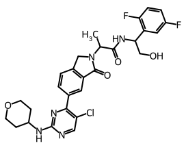 CC(C(=O)NC(CO)c1cc(F)ccc1F)N1Cc2ccc(-c3nc(NC4CCOCC4)ncc3Cl)cc2C1=O